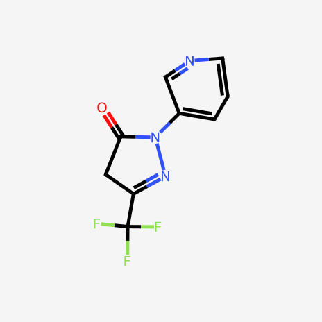 O=C1CC(C(F)(F)F)=NN1c1cccnc1